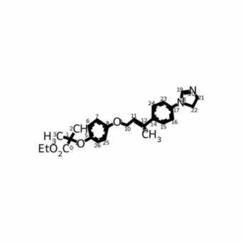 CCOC(=O)C(C)(C)Oc1ccc(OC/C=C(\C)c2ccc(N3C=NCC3)cc2)cc1